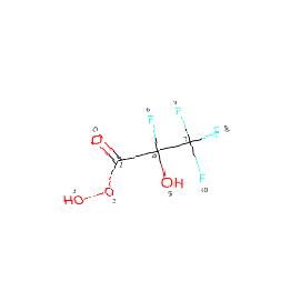 O=C(OO)C(O)(F)C(F)(F)F